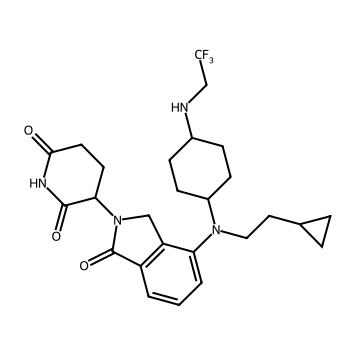 O=C1CCC(N2Cc3c(cccc3N(CCC3CC3)C3CCC(NCC(F)(F)F)CC3)C2=O)C(=O)N1